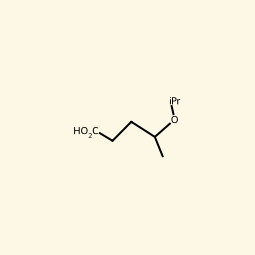 CC(C)OC(C)CCC(=O)O